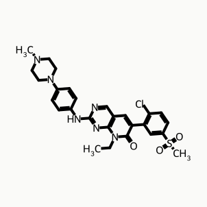 CCn1c(=O)c(-c2cc(S(C)(=O)=O)ccc2Cl)cc2cnc(Nc3ccc(N4CCN(C)CC4)cc3)nc21